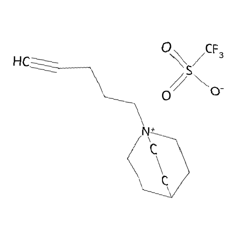 C#CCCC[N+]12CCC(CC1)CC2.O=S(=O)([O-])C(F)(F)F